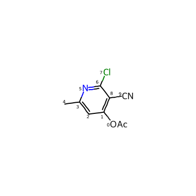 CC(=O)Oc1cc(C)nc(Cl)c1C#N